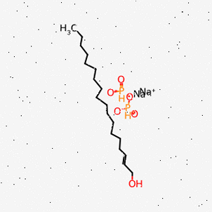 CCCCCCCCCCCCCCCC=CCO.O=[PH]([O-])O[PH](=O)[O-].[Na+].[Na+]